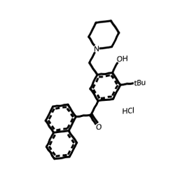 CC(C)(C)c1cc(C(=O)c2cccc3ccccc23)cc(CN2CCCCC2)c1O.Cl